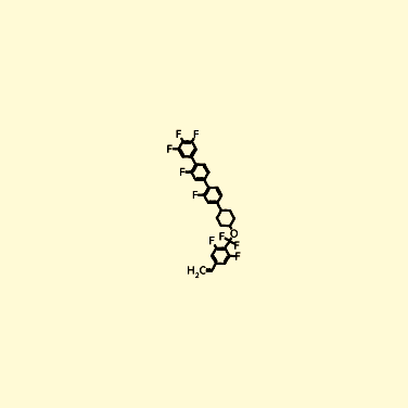 C=Cc1cc(F)c(C(F)(F)OC2CCC(c3ccc(-c4ccc(-c5cc(F)c(F)c(F)c5)c(F)c4)c(F)c3)CC2)c(F)c1